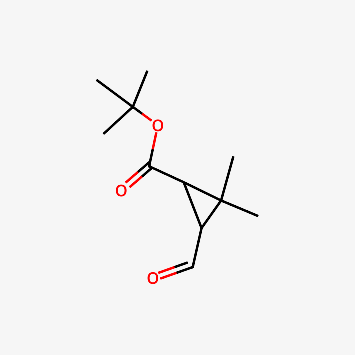 CC(C)(C)OC(=O)C1C(C=O)C1(C)C